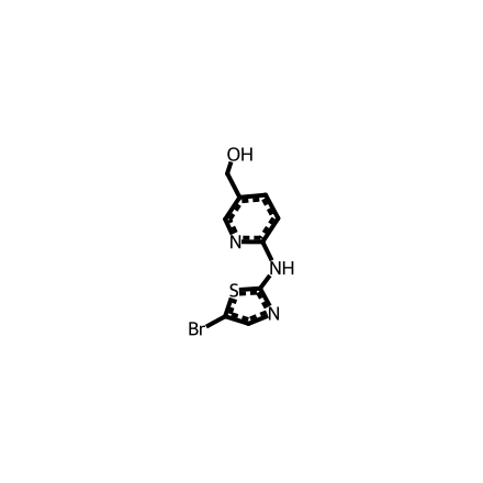 OCc1ccc(Nc2ncc(Br)s2)nc1